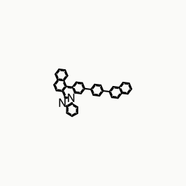 c1ccc2cc(-c3ccc(-c4ccc5c6c7ccccc7ccc6c6nc7ccccc7n6c5c4)cc3)ccc2c1